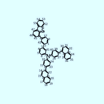 c1cc(-c2cccc(N(c3ccc(-c4ccc5ccccc5c4)cc3)c3ccc(-c4cccc5ccccc45)cc3)c2)cc(-c2cccc3c2sc2ccccc23)c1